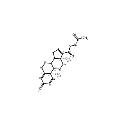 CC(=O)OCC(=O)C1=CCC2C3CCC4=CC(=O)C=C[C@]4(C)C3=CC[C@]12C